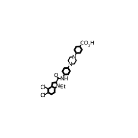 CCn1c(C(=O)Nc2ccc(N3CCN(c4ccc(C(=O)O)cc4)CC3)cc2)cc2c(Cl)c(Cl)ccc21